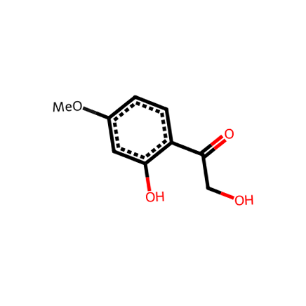 COc1ccc(C(=O)CO)c(O)c1